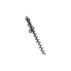 CCCCCCCCCCCCCCCCCC(=O)OCCOCCOCC